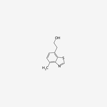 Cc1ccc(CCO)c2scnc12